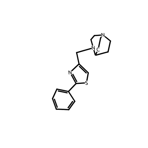 c1ccc(-c2nc(CN3CCN4CCC3CC4)cs2)cc1